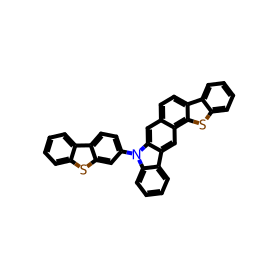 c1ccc2c(c1)sc1cc(-n3c4ccccc4c4cc5c(ccc6c7ccccc7sc56)cc43)ccc12